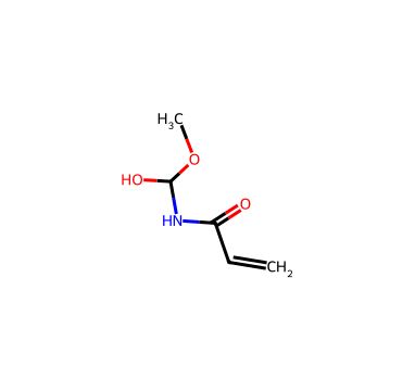 C=CC(=O)NC(O)OC